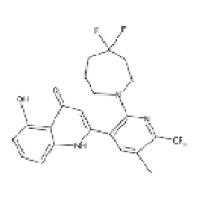 Cc1cc(-c2cc(=O)c3c(O)cccc3[nH]2)c(N2CCCC(F)(F)CC2)nc1C(F)(F)F